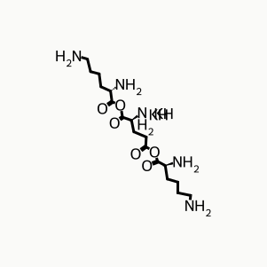 NCCCC[C@H](N)C(=O)OC(=O)CC[C@H](N)C(=O)OC(=O)[C@@H](N)CCCCN.[KH].[KH]